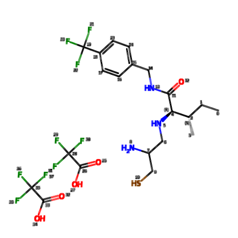 CC[C@H](C)[C@@H](NCC(N)CS)C(=O)NCc1ccc(C(F)(F)F)cc1.O=C(O)C(F)(F)F.O=C(O)C(F)(F)F